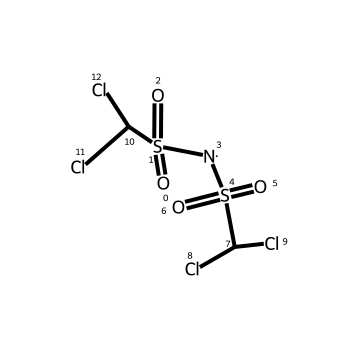 O=S(=O)([N]S(=O)(=O)C(Cl)Cl)C(Cl)Cl